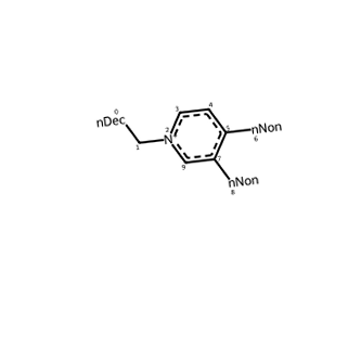 CCCCCCCCCCC[n+]1ccc(CCCCCCCCC)c(CCCCCCCCC)c1